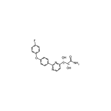 NC(=O)[C@H](O)[C@@H](O)c1ccnc(-c2ccc(Oc3ccc(F)cc3)cc2)n1